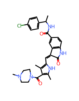 Cc1[nH]c(C=C2C(=O)Nc3ccc(C(=O)NC(C)c4ccc(Cl)cc4)cc32)c(C)c1C(=O)N1CCN(C)CC1